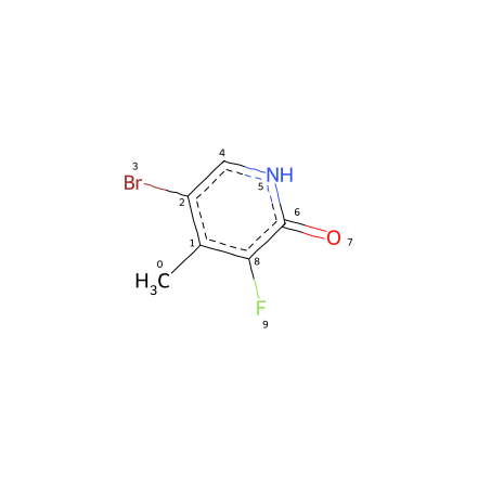 Cc1c(Br)c[nH]c(=O)c1F